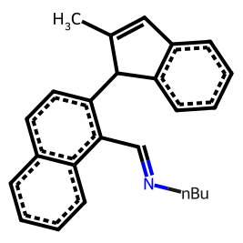 CCCCN=Cc1c(C2C(C)=Cc3ccccc32)ccc2ccccc12